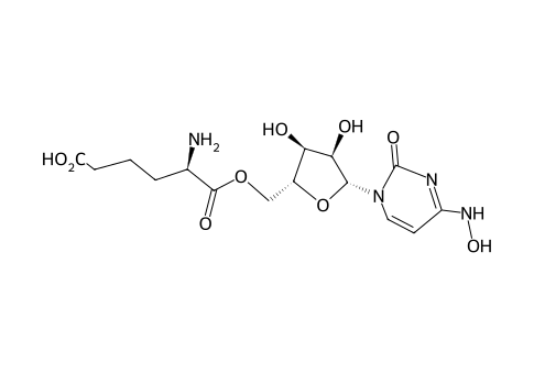 N[C@H](CCCC(=O)O)C(=O)OC[C@H]1O[C@@H](n2ccc(NO)nc2=O)[C@H](O)[C@@H]1O